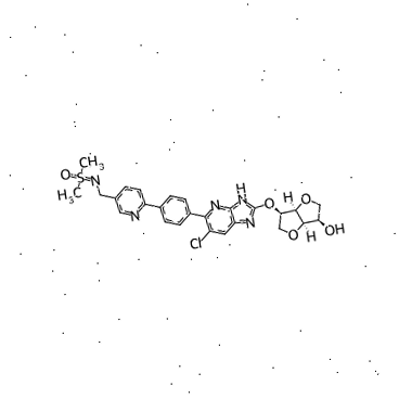 CS(C)(=O)=NCc1ccc(-c2ccc(-c3nc4[nH]c(O[C@@H]5CO[C@H]6[C@@H]5OC[C@H]6O)nc4cc3Cl)cc2)nc1